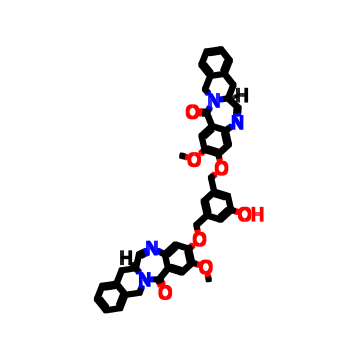 COc1cc2c(cc1OCc1cc(O)cc(COc3cc4c(cc3OC)C(=O)N3Cc5ccccc5C[C@H]3C=N4)c1)N=C[C@@H]1Cc3ccccc3CN1C2=O